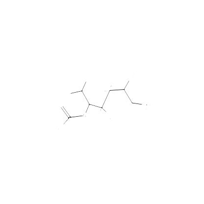 CC(=O)NC(C(O)O)C(O)[C@H](F)C(C)CO